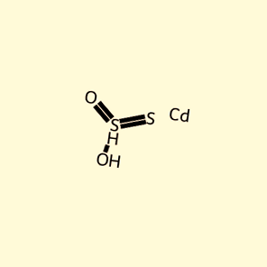 O=[SH](O)=S.[Cd]